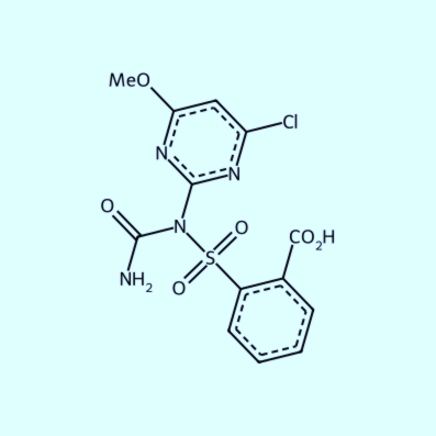 COc1cc(Cl)nc(N(C(N)=O)S(=O)(=O)c2ccccc2C(=O)O)n1